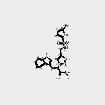 O=C(NO)C(Cc1c[nH]c2ccccc12)n1cc(CNS(=O)(=O)c2ccc(Br)s2)nn1